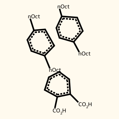 CCCCCCCCc1ccc(CCCCCCCC)cc1.CCCCCCCCc1ccc(CCCCCCCC)cc1.O=C(O)c1ccccc1C(=O)O